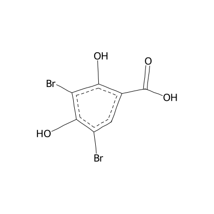 O=C(O)c1cc(Br)c(O)c(Br)c1O